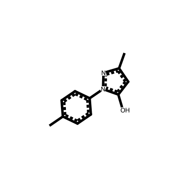 Cc1ccc(-n2nc(C)cc2O)cc1